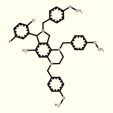 COc1ccc(CN2CCN(Cc3ccc(OC)cc3)c3c2cc(N)c2c3CN(Cc3ccc(OC)cc3)C2c2cc(F)ccc2Cl)cc1